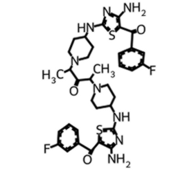 CC(C(=O)C(C)N1CCC(Nc2nc(N)c(C(=O)c3cccc(F)c3)s2)CC1)N1CCC(Nc2nc(N)c(C(=O)c3cccc(F)c3)s2)CC1